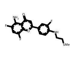 CSCCNc1ccc(-c2cc(=O)c3c(N)c(F)cc(F)c3o2)cc1F